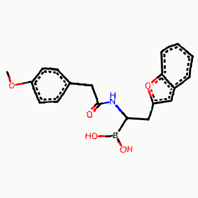 COc1ccc(CC(=O)NC(Cc2cc3ccccc3o2)B(O)O)cc1